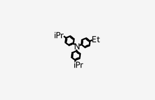 CCc1ccc(N(c2ccc(C(C)C)cc2)c2ccc(C(C)C)cc2)cc1